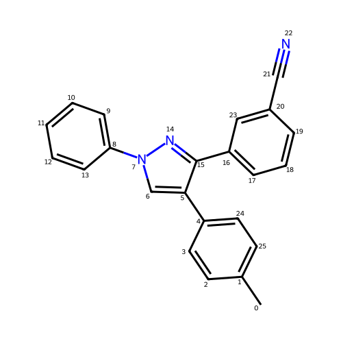 Cc1ccc(-c2cn(-c3ccccc3)nc2-c2cccc(C#N)c2)cc1